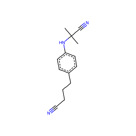 CC(C)(C#N)Nc1ccc(CCCC#N)cc1